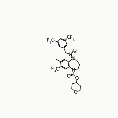 CC(=O)N(Cc1cc(C(F)(F)F)cc(C(F)(F)F)c1)[C@H]1CCCN(C(=O)OC2CCOCC2)c2cc(C(F)(F)F)c(C)cc21